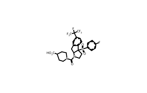 O=C(O)C1CCN(C(=O)N2CCC3(S(=O)(=O)c4ccc(F)cc4)c4ccc(C(F)(C(F)(F)F)C(F)(F)F)cc4CC23)CC1